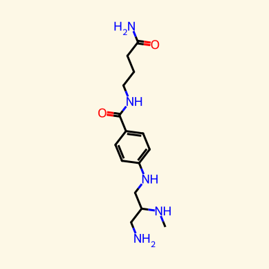 CNC(CN)CNc1ccc(C(=O)NCCCC(N)=O)cc1